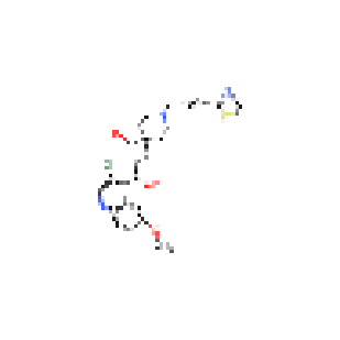 COc1ccc2ncc(Cl)c([C@@H](O)CCC3(CO)CCN(CC#Cc4nccs4)CC3)c2c1